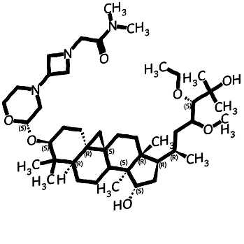 CCO[C@@H](C(C[C@@H](C)[C@H]1C[C@H](O)[C@@]2(C)C3CC[C@H]4C(C)(C)[C@@H](O[C@H]5CN(C6CN(CC(=O)N(C)C)C6)CCO5)CC[C@@]45C[C@@]35CC[C@]12C)OC)C(C)(C)O